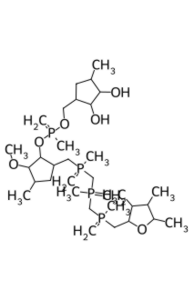 C=P(C)(CC1CC(C)C(OC)C1OP(=C)(C)OCC1CC(C)C(O)C1O)CP(=C)(C)CP(=C)(C)CC1OC(C)C(C)C1C